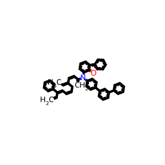 C=C/C(=C\C=C/CC(/C=C\C(=C)N(c1ccc(-c2cccc(-c3ccccc3)c2)cc1)c1cccc2c1oc1ccccc12)=C/C)c1ccccc1